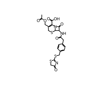 CC(=O)OCC1=C(C(=O)O)N2C(=O)C(NC(=O)Cc3ccc(CSC4=NC(=O)CS4)cc3)C2SC1